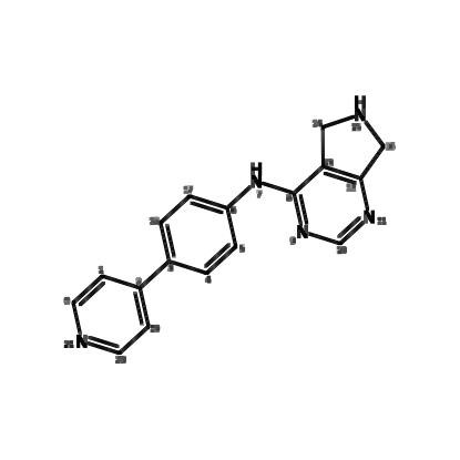 c1cc(-c2ccc(Nc3ncnc4c3CNC4)cc2)ccn1